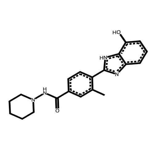 Cc1cc(C(=O)NN2CCCCC2)ccc1-c1nc2cccc(O)c2[nH]1